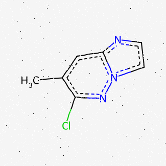 Cc1cc2nccn2nc1Cl